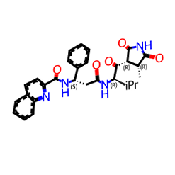 CC(C)[C@@H](NC(=O)C[C@H](NC(=O)c1ccc2ccccc2n1)c1ccccc1)C(=O)[C@@H]1C(=O)NC(=O)[C@@H]1C